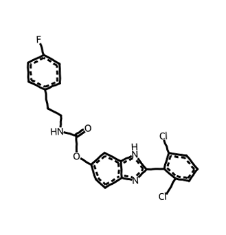 O=C(NCCc1ccc(F)cc1)Oc1ccc2nc(-c3c(Cl)cccc3Cl)[nH]c2c1